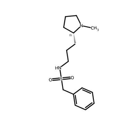 CN1CCC[C@H]1CCCNS(=O)(=O)Cc1ccccc1